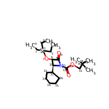 CC[Si](CC)(CC)O[C@H]1C(=O)N(C(=O)OCC(C)(C)C)[C@H]1C1CCCCC1